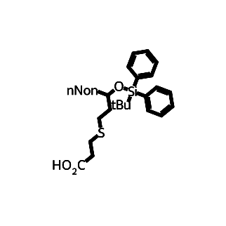 CCCCCCCCCC(CCSCCC(=O)O)O[Si](c1ccccc1)(c1ccccc1)C(C)(C)C